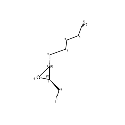 CC(C)CCCC[C@H]1O[C@@H]1CI